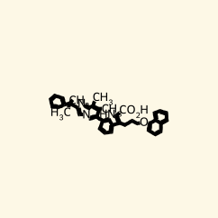 Cc1c(-c2cccc3c(CCCOc4cccc5ccccc45)c(C(=O)O)[nH]c23)cn2cc(C(C)(C)c3ccccc3)nc2c1C